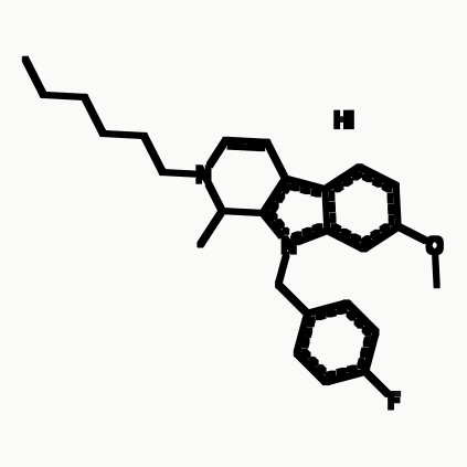 CCCCCCN1C=Cc2c(n(Cc3ccc(F)cc3)c3cc(OC)ccc23)C1C.I